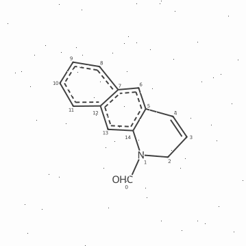 O=CN1CC=Cc2cc3ccccc3cc21